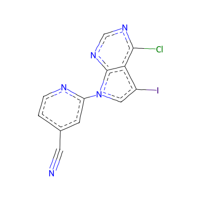 N#Cc1ccnc(-n2cc(I)c3c(Cl)ncnc32)c1